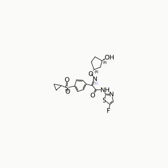 O=C(Nc1ncc(F)s1)/C(=N/O[C@@H]1CC[C@@H](O)C1)c1ccc(S(=O)(=O)C2CC2)cc1